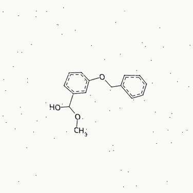 COC(O)c1cccc(OCc2ccccc2)c1